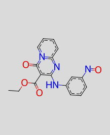 CCOC(=O)c1c(Nc2cccc(N=O)c2)nc2ccccn2c1=O